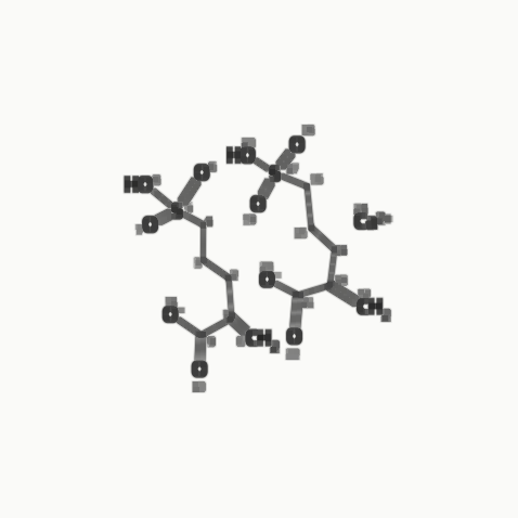 C=C(CCCS(=O)(=O)O)C(=O)[O-].C=C(CCCS(=O)(=O)O)C(=O)[O-].[Ca+2]